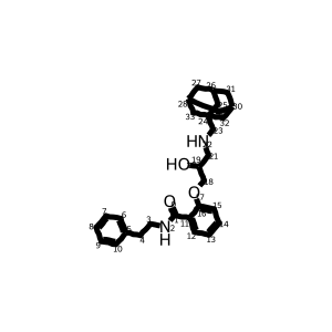 O=C(NCCc1ccccc1)c1ccccc1OCC(O)CNCC12CC3CC(CC(C3)C1)C2